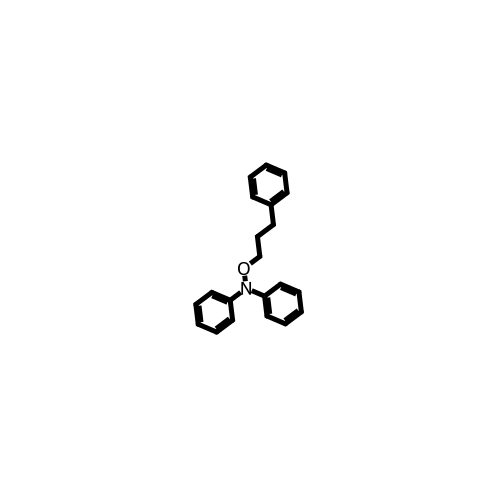 c1ccc(CCCON(c2ccccc2)c2ccccc2)cc1